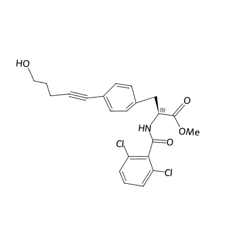 COC(=O)[C@H](Cc1ccc(C#CCCCO)cc1)NC(=O)c1c(Cl)cccc1Cl